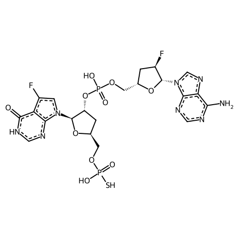 Nc1ncnc2c1ncn2[C@@H]1O[C@H](COP(=O)(O)O[C@@H]2C[C@@H](COP(=O)(O)S)O[C@H]2n2cc(F)c3c(=O)[nH]cnc32)C[C@H]1F